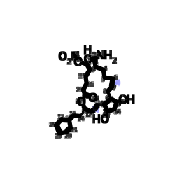 C=C(N)CCC/C=C\C[C@@H]1[C@@H](/C=C/[C@H](CCc2ccccc2)OC(=O)CCCCCO[N+](=O)[O-])[C@H](O)C[C@@H]1O